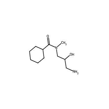 CN(CC(O)CN)C(=O)C1CCCCC1